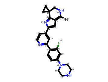 [2H]C1=C2C=C(c3ccnc(-c4ccc(N5CCNCC5)cc4F)c3)N=C2C2(CC2)CN1